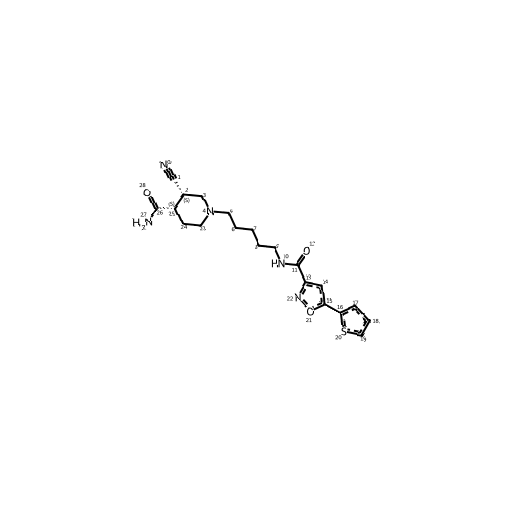 N#C[C@@H]1CN(CCCCCNC(=O)c2cc(-c3cccs3)on2)CC[C@@H]1C(N)=O